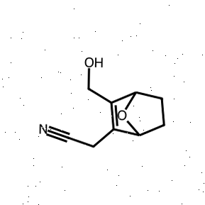 N#CCC1=C(CO)C2CCC1O2